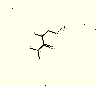 CCCCOCC(C)C(=O)N(C)C